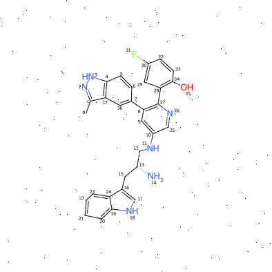 Cc1n[nH]c2ccc(-c3cc(NC[C@H](N)Cc4c[nH]c5ccccc45)cnc3-c3cc(F)ccc3O)cc12